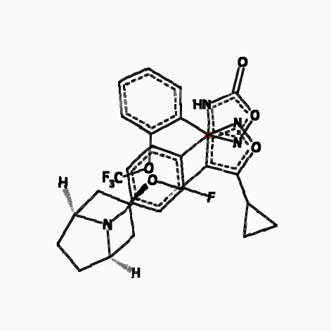 O=c1[nH]c(-c2ccc(N3[C@@H]4CC[C@H]3C[C@@H](OCc3c(-c5ccccc5OC(F)(F)F)noc3C3CC3)C4)cc2F)no1